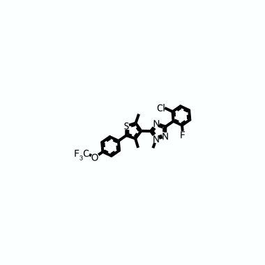 Cc1sc(-c2ccc(OC(F)(F)F)cc2)c(C)c1-c1nc(-c2c(F)cccc2Cl)nn1C